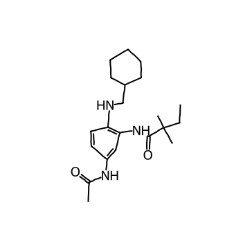 CCC(C)(C)C(=O)Nc1cc(NC(C)=O)ccc1NCC1CCCCC1